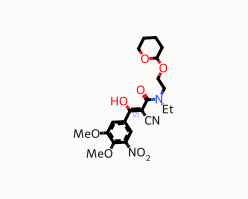 CCN(CCOC1CCCCO1)C(=O)/C(C#N)=C(\O)c1cc(OC)c(OC)c([N+](=O)[O-])c1